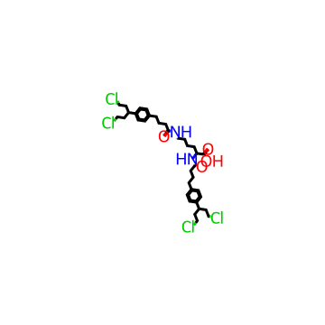 O=C(CCCc1ccc(C(CCCl)CCCl)cc1)NCCCCC(NC(=O)CCCc1ccc(C(CCCl)CCCl)cc1)C(=O)O